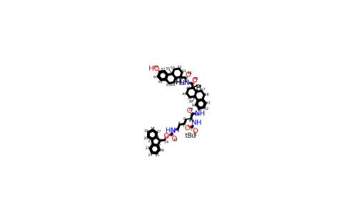 CC(C)(C)OC(=O)N[C@@H](CCCCNC(=O)OCC1c2ccccc2-c2ccccc21)C(=O)Nc1ccc2c(c1)[C@@]1(C)CCC[C@](C)(C(=O)NC(=O)[C@@]3(C)CCC[C@]4(C)c5cc(O)ccc5CC[C@@H]34)[C@@H]1CC2